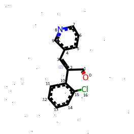 O=C/C(=C\c1cccnc1)c1ccccc1Cl